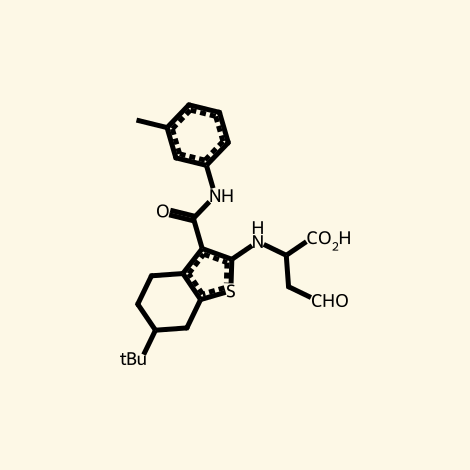 Cc1cccc(NC(=O)c2c(NC(CC=O)C(=O)O)sc3c2CCC(C(C)(C)C)C3)c1